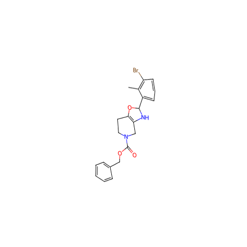 Cc1c(Br)cccc1C1NC2=C(CCN(C(=O)OCc3ccccc3)C2)O1